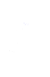 CC(CSC(C)(C)C)C(N)=O